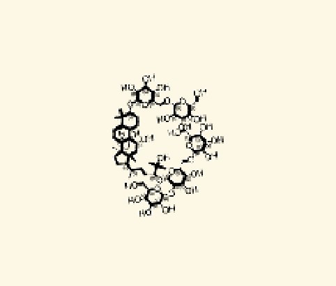 C[C@H](CC[C@@H](O[C@@H]1O[C@H](CO[C@@H]2O[C@H](CO)[C@@H](O)[C@H](O)[C@H]2O)[C@@H](O)[C@H](O)[C@H]1O[C@H]1O[C@H](CO)[C@@H](O)[C@H](O)[C@H]1O)C(C)(C)O)[C@H]1CC[C@@]2(C)[C@@H]3CC=C4[C@@H](CC[C@H](O[C@@H]5O[C@H](CO[C@@H]6O[C@H](CO)[C@@H](O)[C@H](O)[C@H]6O)[C@@H](O)[C@H](O)[C@H]5O)C4(C)C)[C@]3(C)[C@H](O)C[C@]12C